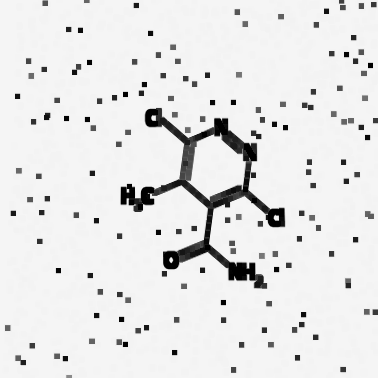 Cc1c(Cl)nnc(Cl)c1C(N)=O